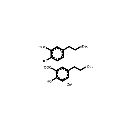 CCCCCCCCCCCCc1ccc(O)c(C(=O)[O-])c1.CCCCCCCCCCCCc1ccc(O)c(C(=O)[O-])c1.[Zn+2]